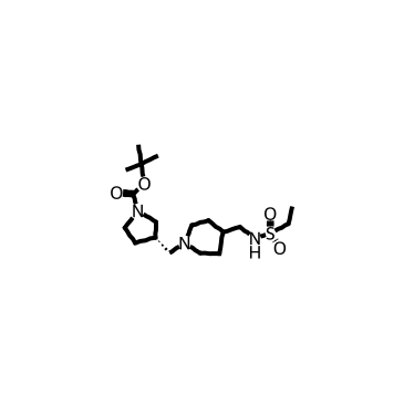 CCS(=O)(=O)NCC1CCN(C[C@@H]2CCN(C(=O)OC(C)(C)C)C2)CC1